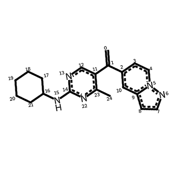 C=C(c1ccn2nccc2c1)c1cnc(NC2CCCCC2)nc1C